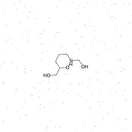 OCC1CCC[SiH](CO)O1